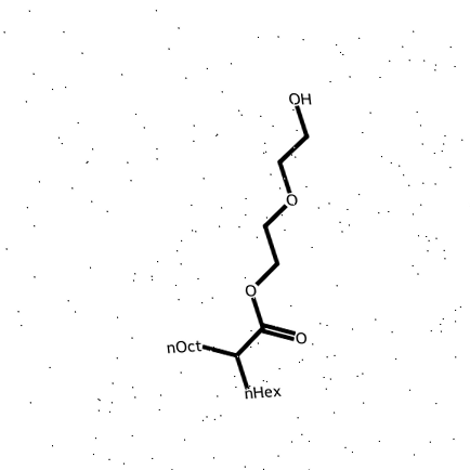 CCCCCCCCC(CCCCCC)C(=O)OCCOCCO